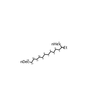 [CH2]CC(CCCCCC)CCCCCCCCCCCCCCCCCCCCC